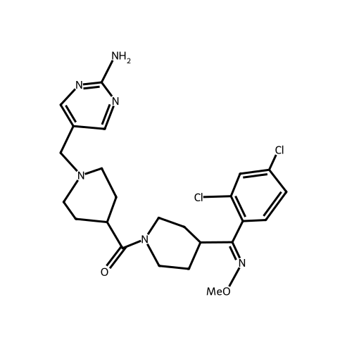 CON=C(c1ccc(Cl)cc1Cl)C1CCN(C(=O)C2CCN(Cc3cnc(N)nc3)CC2)CC1